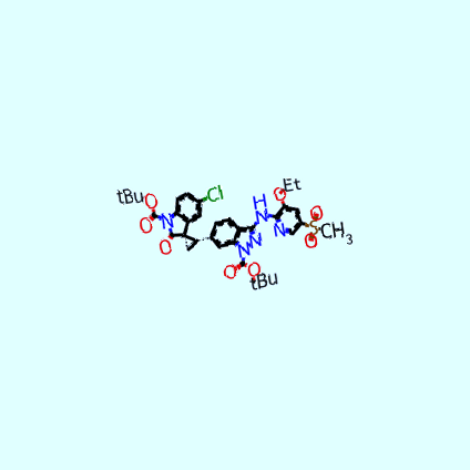 CCOc1cc(S(C)(=O)=O)cnc1Nc1nn(C(=O)OC(C)(C)C)c2cc([C@@H]3C[C@@]34C(=O)N(C(=O)OC(C)(C)C)c3ccc(Cl)cc34)ccc12